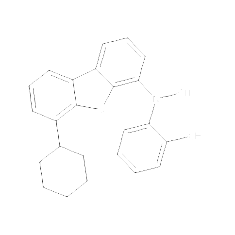 Cc1ccccc1N(C)c1cccc2c1sc1c(C3CCCCC3)cccc12